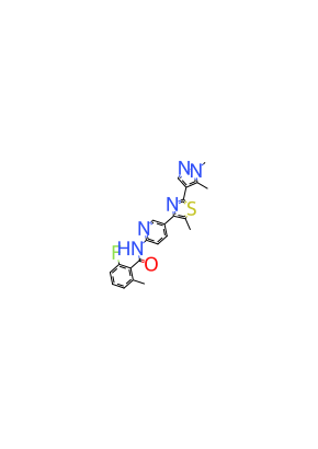 Cc1cccc(F)c1C(=O)Nc1ccc(-c2nc(-c3cnn(C)c3C)sc2C)cn1